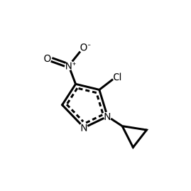 O=[N+]([O-])c1cnn(C2CC2)c1Cl